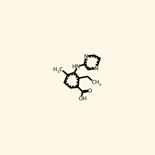 CCc1c(C(=O)O)ccc(C)c1Nc1cnccn1